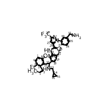 C/C=C\c1c(CC)ccc(OC)c1C(NCC1CC1)c1ccc(F)c(NC(=O)c2cc(C(F)(F)F)nn2-c2cccc(CN)c2)c1